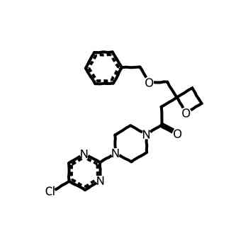 O=C(CC1(COCc2ccccc2)CCO1)N1CCN(c2ncc(Cl)cn2)CC1